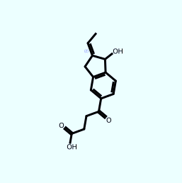 C/C=C1/Cc2cc(C(=O)CCC(=O)O)ccc2C1O